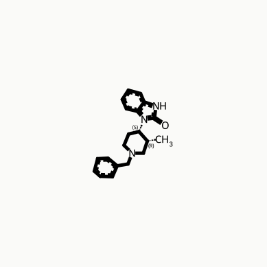 C[C@@H]1CN(Cc2ccccc2)CC[C@@H]1n1c(=O)[nH]c2ccccc21